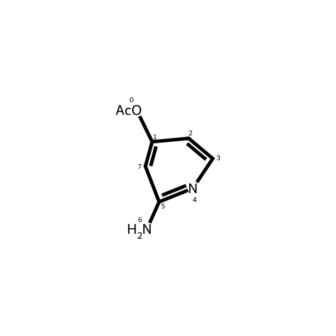 CC(=O)Oc1ccnc(N)c1